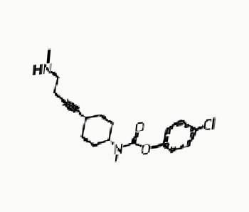 CNCCC#C[C@H]1CC[C@H](N(C)C(=O)Oc2ccc(Cl)cc2)CC1